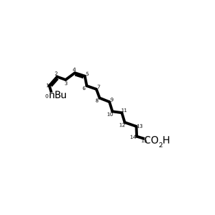 CCCC/C=C\C/C=C\CCCCCCCCCC(=O)O